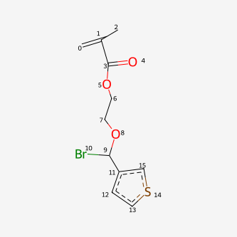 C=C(C)C(=O)OCCOC(Br)c1ccsc1